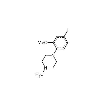 COc1cc(I)ccc1N1CCN(C)CC1